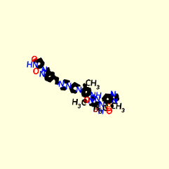 CCc1cc(Nc2ncc(Br)c(Nc3ccc4nccnc4c3P(C)(C)=O)n2)c(OC)cc1N1CCC(N2CCN(CCc3ccc4nn(C5CCC(=O)NC5=O)cc4c3)CC2)CC1